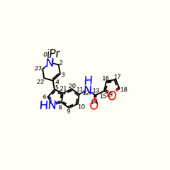 CC(C)N1CC=C(c2c[nH]c3ccc(NC(=O)c4ccco4)cc23)CC1